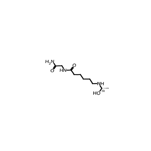 C[C@H](O)NCCCCCC(=O)NCC(N)=O